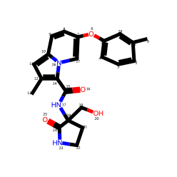 Cc1cccc(Oc2ccc3cc(C)c(C(=O)NC4(CO)CCNC4=O)n3c2)c1